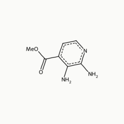 COC(=O)c1ccnc(N)c1N